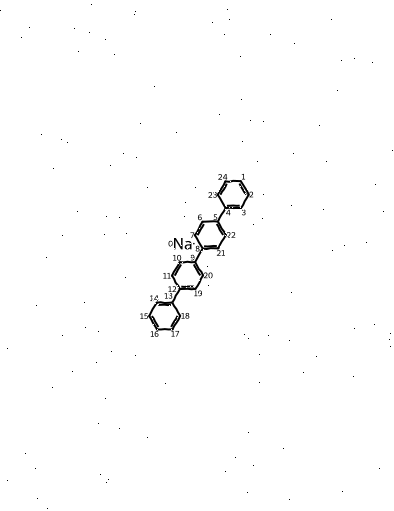 [Na].c1ccc(-c2ccc(-c3ccc(-c4ccccc4)cc3)cc2)cc1